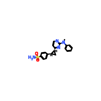 CN(c1ccccc1)c1nccc([C@@H]2C[C@H]2c2ccc(S(N)(=O)=O)cc2)n1